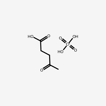 CC(=O)CCC(=O)O.[O]=[Cr](=[O])([OH])[OH]